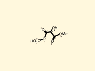 COC(=O)C(O)C(=O)OC(=O)O